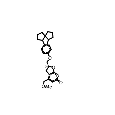 COCc1cc(=O)nc2n1C[C@@H](COc1ccc(C3CCCC34CCCC4C)cc1)O2